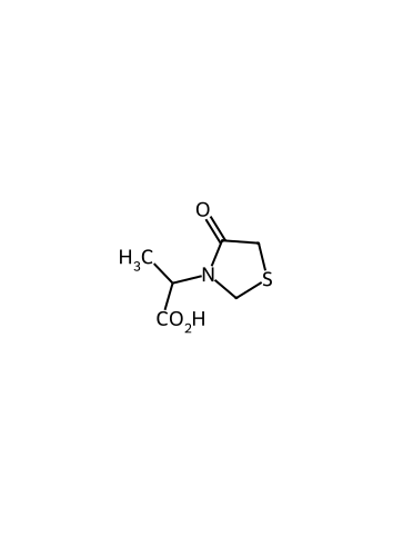 CC(C(=O)O)N1CSCC1=O